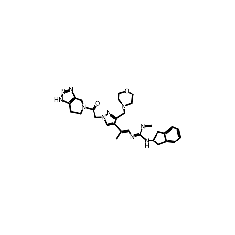 C=N/C(=N\C=C(/C)c1cn(CC(=O)N2CCc3[nH]nnc3C2)nc1CN1CCOCC1)NC1Cc2ccccc2C1